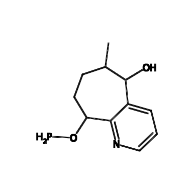 CC1CCC(OP)c2ncccc2C1O